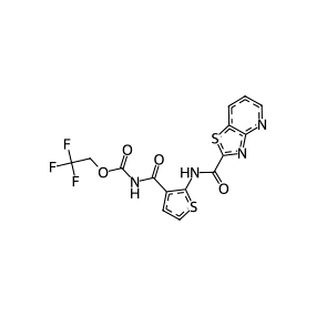 O=C(NC(=O)c1ccsc1NC(=O)c1nc2ncccc2s1)OCC(F)(F)F